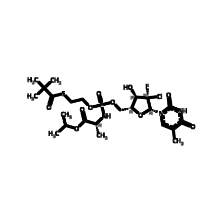 Cc1cn([C@@H]2O[C@H](COP(=O)(N[C@H](C)C(=O)OC(C)C)OCCSC(=O)C(C)(C)C)[C@@H](O)[C@@]2(F)Cl)c(=O)[nH]c1=O